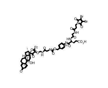 CCC(=O)O[C@]1(C(=O)COCNC(=O)CNC(=O)OCc2ccc(NC(=O)[C@H](CCC(=O)O)NC(=O)CNC(=O)CCN3C(=O)C(Br)=C(Br)C3=O)cc2)[C@@H](C)CC2[C@@H]3CCC4=CC(=O)C=C[C@]4(C)[C@@]3(Cl)[C@@H](O)C[C@@]21C